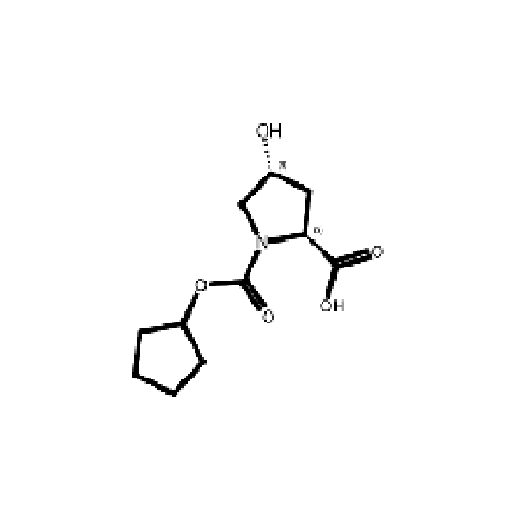 O=C(O)[C@@H]1C[C@@H](O)CN1C(=O)OC1CCCC1